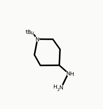 CC(C)(C)N1CCC(NN)CC1